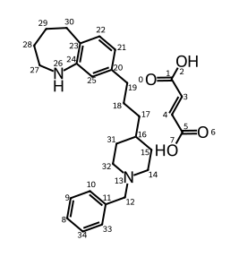 O=C(O)/C=C/C(=O)O.c1ccc(CN2CCC(CCCc3ccc4c(c3)NCCCC4)CC2)cc1